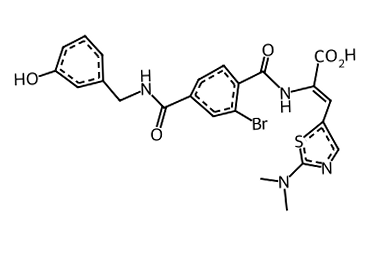 CN(C)c1ncc(/C=C(\NC(=O)c2ccc(C(=O)NCc3cccc(O)c3)cc2Br)C(=O)O)s1